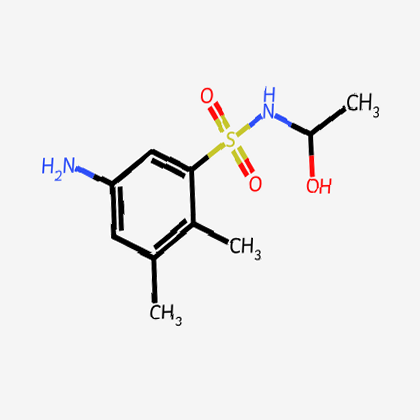 Cc1cc(N)cc(S(=O)(=O)NC(C)O)c1C